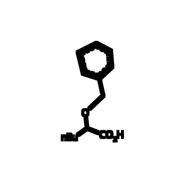 CCCCC(OCc1ccccc1)C(=O)O